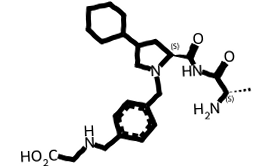 C[C@H](N)C(=O)NC(=O)[C@@H]1CC(C2CCCCC2)CN1Cc1ccc(CNCC(=O)O)cc1